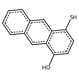 Oc1ccc(S)c2cc3ccccc3cc12